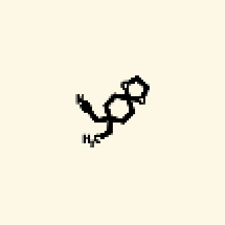 CCC1(CC#N)CCC2(CC1)OCCO2